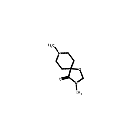 CN1CCC2(CC1)OCN(C)C2=O